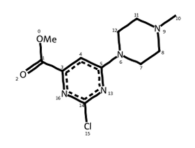 COC(=O)c1cc(N2CCN(C)CC2)nc(Cl)n1